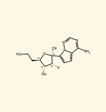 N#C[C@@]1(c2ccc3c(N)ncnn23)O[C@H](CCO)[C@@H](O)[C@H]1F